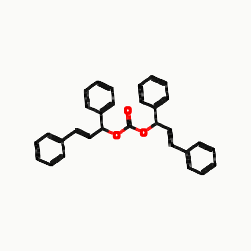 O=C(OC(C=Cc1ccccc1)c1ccccc1)OC(C=Cc1ccccc1)c1ccccc1